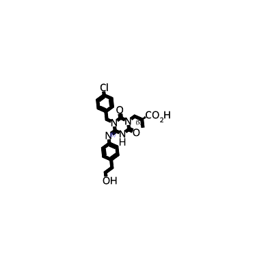 C[C@@H](Cn1c(=O)[nH]/c(=N\c2ccc(CCO)cc2)n(Cc2ccc(Cl)cc2)c1=O)C(=O)O